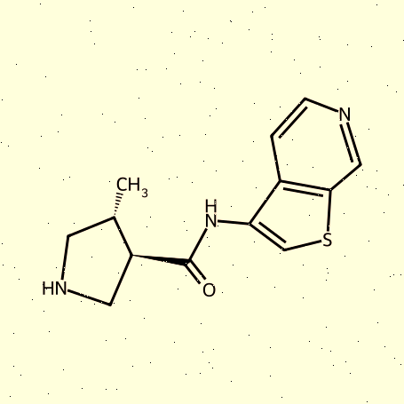 C[C@H]1CNC[C@@H]1C(=O)Nc1csc2cnccc12